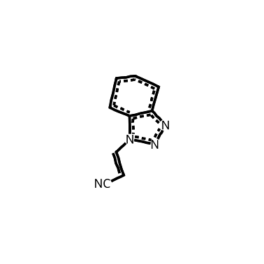 N#CC=Cn1nnc2ccccc21